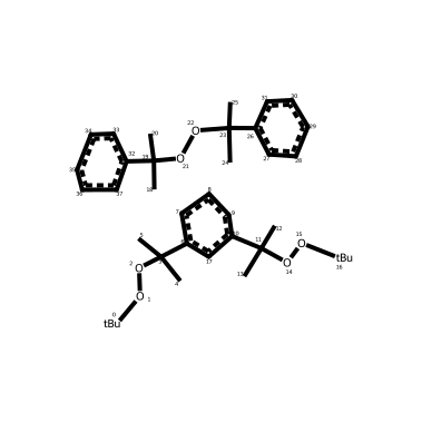 CC(C)(C)OOC(C)(C)c1cccc(C(C)(C)OOC(C)(C)C)c1.CC(C)(OOC(C)(C)c1ccccc1)c1ccccc1